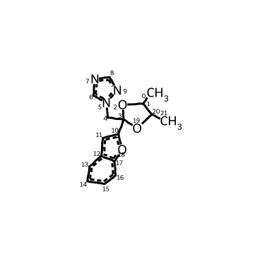 CC1OC(Cn2cncn2)(c2cc3ccccc3o2)OC1C